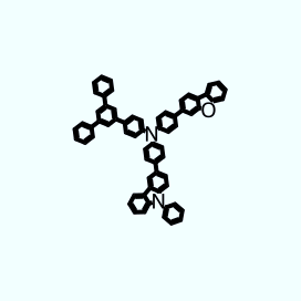 c1ccc(-c2cc(-c3ccccc3)cc(-c3ccc(N(c4ccc(-c5ccc6c(c5)oc5ccccc56)cc4)c4ccc(-c5ccc6c(c5)c5ccccc5n6-c5ccccc5)cc4)cc3)c2)cc1